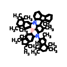 Cc1cc2c(cc1N1c3cc4c(cc3B3c5cc6c(cc5N5c7cccc8c7C(C)(c7ccccc7-8)c7c(C)cc1c3c75)C(C)(C)CCC6(C)C)C(C)(C)CC4(C)C)C(C)(C)CCC2(C)C